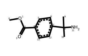 COC(=O)c1ccc(C(C)(C)N)cc1